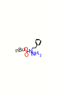 CCCCOC(=O)N(N)CCc1ccccc1